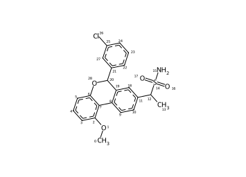 COc1cccc2c1-c1ccc(C(C)S(N)(=O)=O)cc1C(c1cccc(Cl)c1)O2